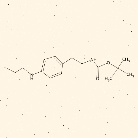 CC(C)(C)OC(=O)NCCc1ccc(NCCF)cc1